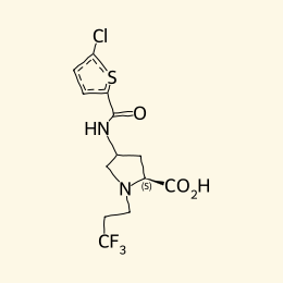 O=C(NC1C[C@@H](C(=O)O)N(CCC(F)(F)F)C1)c1ccc(Cl)s1